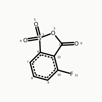 O=C1OS(=O)(=O)c2cccc(F)c21